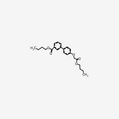 CCCCOC(=O)COc1ccc(-c2cccc(C(=O)OCCCC)c2)cc1